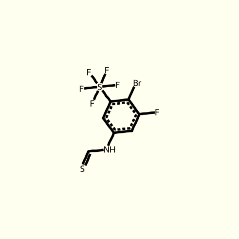 Fc1cc(NC=S)cc(S(F)(F)(F)(F)F)c1Br